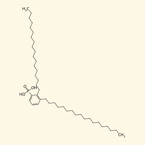 CCCCCCCCCCCCCCCCCCc1cccc(P(=O)(O)O)c1CCCCCCCCCCCCCCCCCC